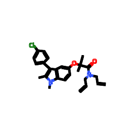 C=CCN(CC=C)C(=O)C(C)(C)Oc1ccc2c(c1)c(-c1ccc(Cl)cc1)c(C)n2C